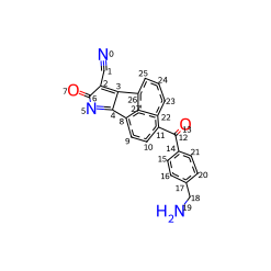 N#CC1=C2C(=NC1=O)c1ccc(C(=O)c3ccc(CN)cc3)c3cccc2c13